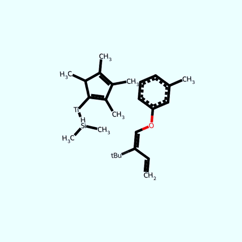 C=CC(=COc1cccc(C)c1)C(C)(C)C.CC1=C(C)C(C)[C]([Ti][SiH](C)C)=C1C